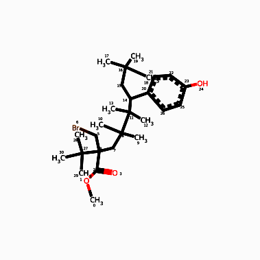 COC(=O)C(CBr)(CC(C)(C)C(C)(C)C(CC(C)(C)C)c1ccc(O)cc1)C(C)(C)C